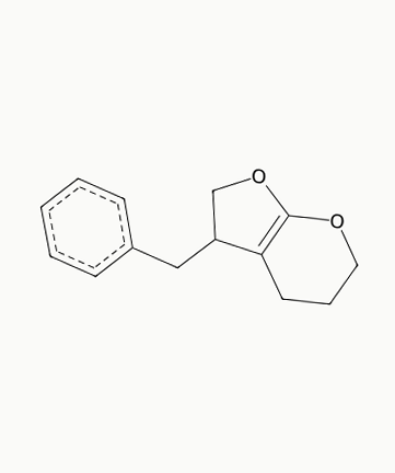 c1ccc(CC2COC3=C2CCCO3)cc1